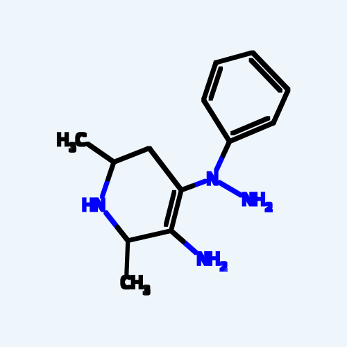 CC1CC(N(N)c2ccccc2)=C(N)C(C)N1